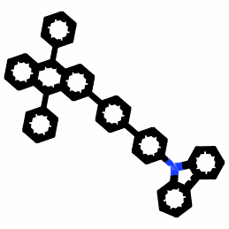 c1ccc(-c2c3ccccc3c(-c3ccccc3)c3cc(-c4ccc(-c5ccc(-n6c7ccccc7c7ccccc76)cc5)cc4)ccc23)cc1